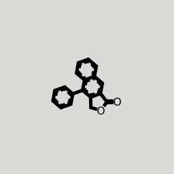 O=C1OCc2c1cc1ccccc1c2-c1ccccc1